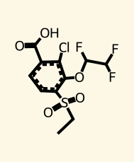 CCS(=O)(=O)c1ccc(C(=O)O)c(Cl)c1OC(F)C(F)F